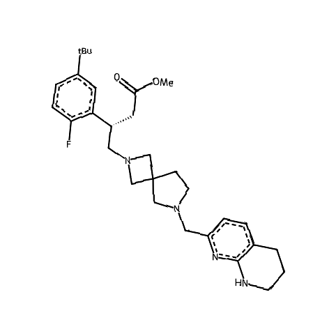 COC(=O)C[C@H](CN1CC2(CCN(Cc3ccc4c(n3)NCCC4)C2)C1)c1cc(C(C)(C)C)ccc1F